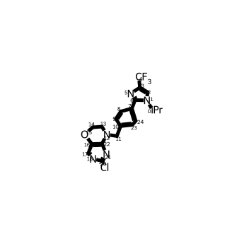 CC(C)n1cc(C(F)(F)F)nc1-c1ccc(CN2CCOc3cnc(Cl)nc32)cc1